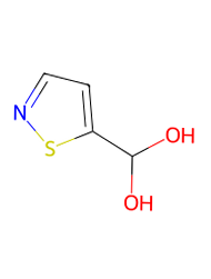 OC(O)c1ccns1